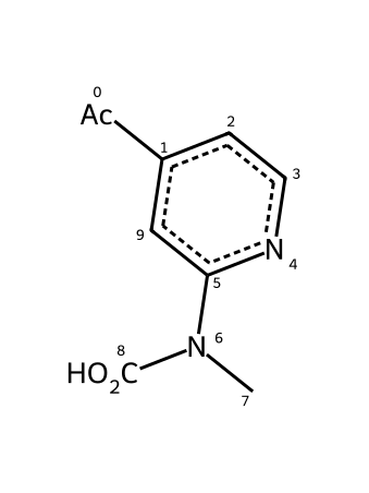 CC(=O)c1ccnc(N(C)C(=O)O)c1